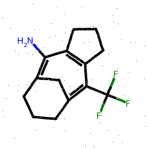 NC1=C2CCCC(=C(C(F)(F)F)C3=C1CCC3)C2